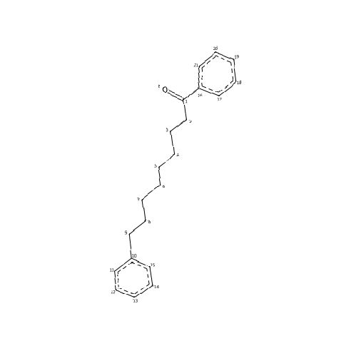 O=C(CCCCCCCCc1ccccc1)c1ccccc1